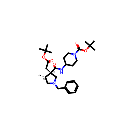 C[C@H]1CN(Cc2ccccc2)C[C@@]1(CC(=O)OC(C)(C)C)C(=O)NC1CCN(C(=O)OC(C)(C)C)CC1